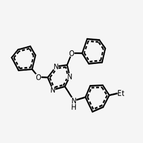 CCc1ccc(Nc2nc(Oc3ccccc3)nc(Oc3ccccc3)n2)cc1